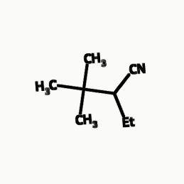 CCC(C#N)C(C)(C)C